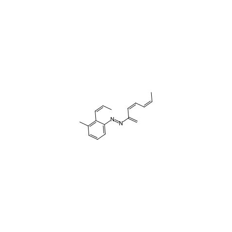 C=C(/C=C\C=C/C)N=Nc1cccc(C)c1/C=C\C